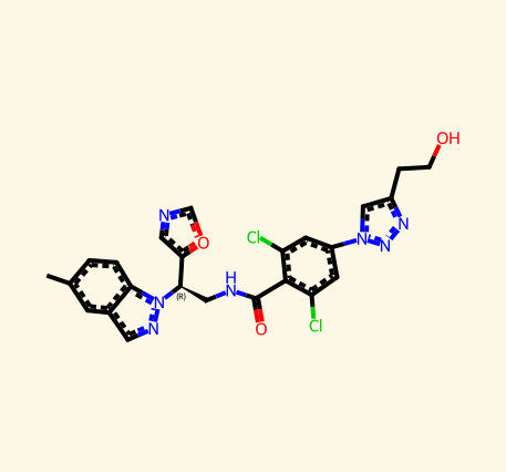 Cc1ccc2c(cnn2[C@H](CNC(=O)c2c(Cl)cc(-n3cc(CCO)nn3)cc2Cl)c2cnco2)c1